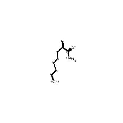 C=C(CCOCCO)C(N)=O